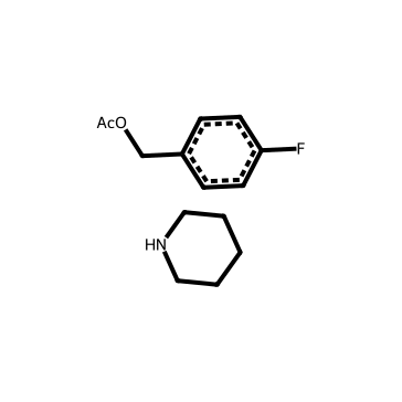 C1CCNCC1.CC(=O)OCc1ccc(F)cc1